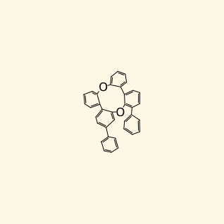 c1ccc(-c2ccc3c(c2)Oc2c(-c4ccccc4)cccc2-c2ccccc2Oc2ccccc2-3)cc1